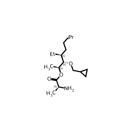 CC[C@@H](CCC(C)C)[C@H](OCC1CC1)[C@H](C)OC(=O)[C@H](C)N